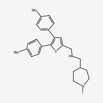 CC(C)(C)c1ccc(-c2cc(CNCC3CCN(I)CC3)sc2-c2ccc(C(C)(C)C)cc2)cc1